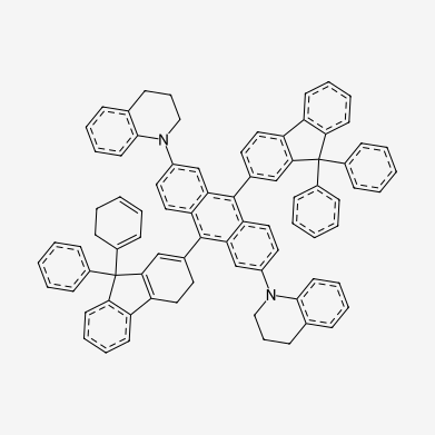 C1=CCCC(C2(c3ccccc3)C3=C(CCC(c4c5cc(N6CCCc7ccccc76)ccc5c(-c5ccc6c(c5)C(c5ccccc5)(c5ccccc5)c5ccccc5-6)c5cc(N6CCCc7ccccc76)ccc45)=C3)c3ccccc32)=C1